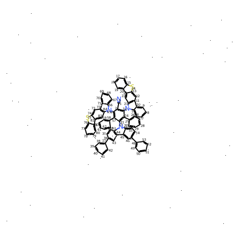 N#Cc1c(-n2c3ccccc3c3cc4sc5ccccc5c4cc32)c(-c2ccccc2)c(-n2c3ccc(-c4ccccc4)cc3c3cc(-c4ccccc4)ccc32)c(-c2ccccc2)c1-n1c2ccccc2c2cc3sc4ccccc4c3cc21